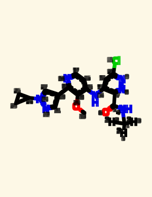 [2H]C([2H])([2H])NC(=O)c1nnc(Cl)cc1Nc1ccnc(-c2cnn(C3CC3)c2)c1OC